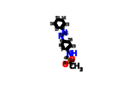 CS(=O)(=O)CNc1ccc(/N=N/c2ccccc2)cc1